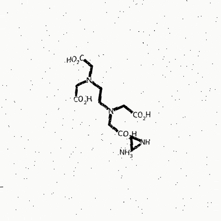 C1CN1.N.O=C(O)CN(CCN(CC(=O)O)CC(=O)O)CC(=O)O